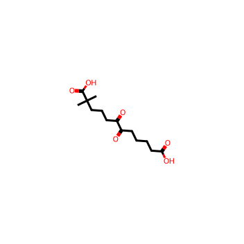 CC(C)(CCCC(=O)C(=O)CCCCC(=O)O)C(=O)O